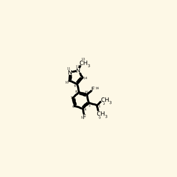 CC(C)c1c(F)ccc(-c2cnn(C)c2)c1F